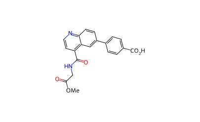 COC(=O)CNC(=O)c1ccnc2ccc(-c3ccc(C(=O)O)cc3)cc12